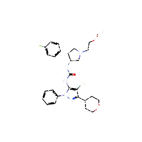 COCCN1C[C@@H](NC(=O)Nc2c(Cl)c(C3CCOCC3)nn2-c2ccccc2)[C@H](c2ccc(F)cc2)C1